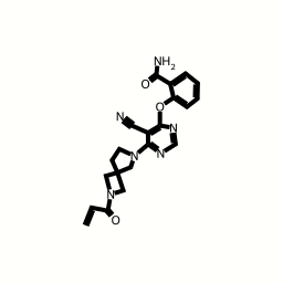 C=CC(=O)N1CC2(CCN(c3ncnc(Oc4ccccc4C(N)=O)c3C#N)C2)C1